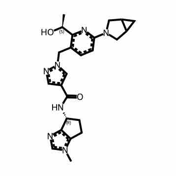 C[C@H](O)c1nc(N2CC3CC3C2)ccc1Cn1cc(C(=O)N[C@@H]2CCc3c2ncn3C)cn1